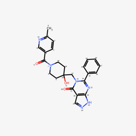 Cc1ccc(C(=O)N2CCC(O)(Cn3c(-c4ccccc4)nc4[nH]ncc4c3=O)CC2)cn1